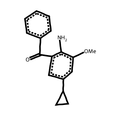 COc1cc(C2CC2)cc(C(=O)c2ccccc2)c1N